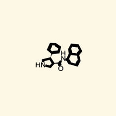 O=C(Nc1cccc2ccccc12)[C@H]1CNC[C@@H]1c1ccccc1